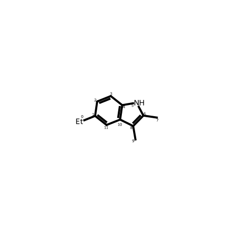 CCc1ccc2[nH]c(C)c(C)c2c1